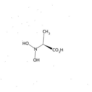 C[C@@H](C(=O)O)N(O)O